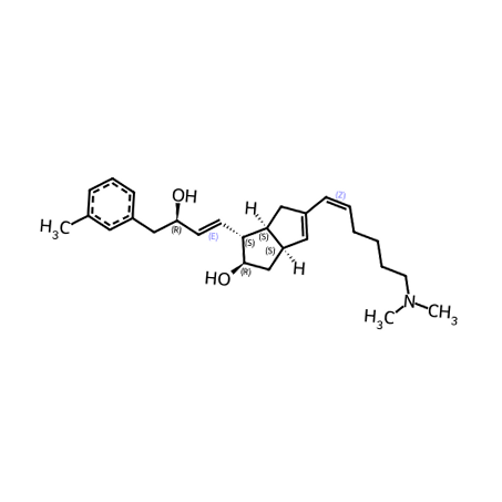 Cc1cccc(C[C@@H](O)/C=C/[C@@H]2[C@H]3CC(/C=C\CCCCN(C)C)=C[C@H]3C[C@H]2O)c1